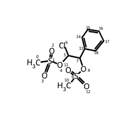 CS(=O)(=O)OC(Cl)C(OS(C)(=O)=O)c1ccccc1